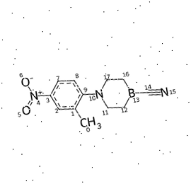 Cc1cc([N+](=O)[O-])ccc1N1CCB(C#N)CC1